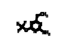 CSc1nc(N)nc(OC(F)(F)F)n1